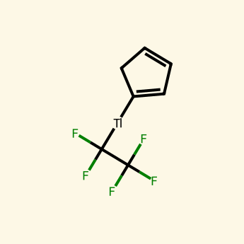 FC(F)(F)[C](F)(F)[Tl][C]1=CC=CC1